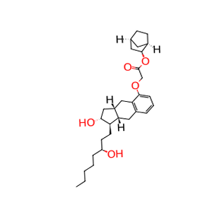 CCCCC[C@H](O)CC[C@@H]1[C@H]2Cc3cccc(OCC(=O)O[C@H]4C[C@H]5CC[C@@H]4C5)c3C[C@H]2C[C@H]1O